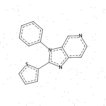 c1ccc(-n2c(-c3cccs3)nc3ccncc32)cc1